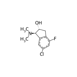 CN(C)[C@@H]1c2cc(Cl)cc(F)c2C[C@H]1O